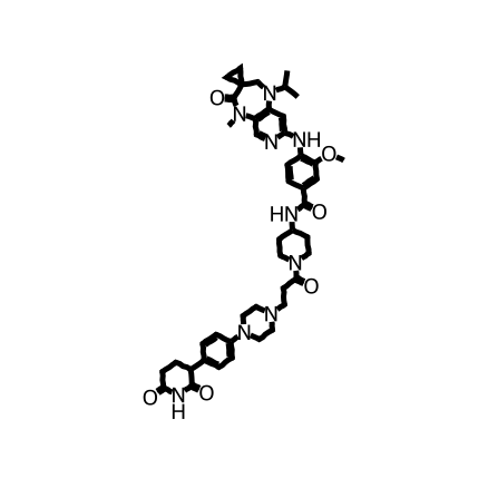 COc1cc(C(=O)NC2CCN(C(=O)CCN3CCN(c4ccc(C5CCC(=O)NC5=O)cc4)CC3)CC2)ccc1Nc1cc2c(cn1)N(C)C(=O)C1(CC1)CN2C(C)C